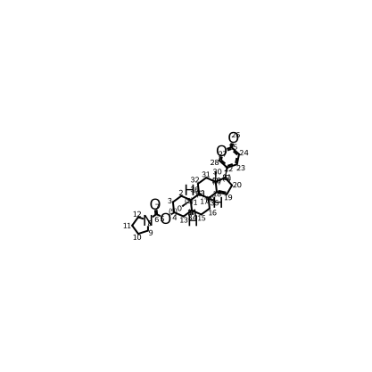 C[C@]12CC[C@H](OC(=O)N3CCCC3)C[C@H]1CC[C@H]1C3=CC[C@H](c4ccc(=O)oc4)[C@@]3(C)CC[C@@H]12